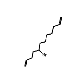 C=CCCCCCC(Br)CCC=C